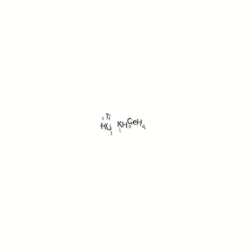 [GeH4].[KH].[LiH].[Ti]